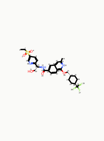 CCS(=O)(=O)c1ccc([C@@H](CO)NC(=O)c2ccc3c(OC[C@H]4CC[C@H](C(F)(F)F)CC4)nc(C)cc3c2)nc1